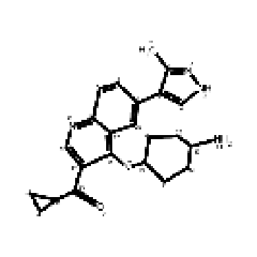 Cc1n[nH]cc1-c1ccc2ncc(C(=O)C3CC3)c(NC3CCC(N)CC3)c2c1